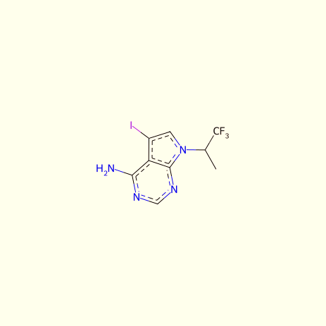 CC(n1cc(I)c2c(N)ncnc21)C(F)(F)F